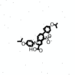 CC(C)Oc1ccc(-c2ccc3c(cc(C(=O)O)n3-c3ccc(OC(C)C)cc3)c2[N+](=O)[O-])cc1